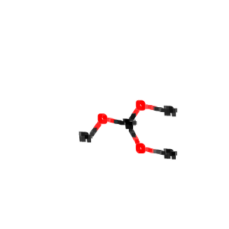 CC(C)[O][Ti+]([O]C(C)C)[O]C(C)C